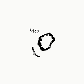 COC.Cl.c1ccccc1